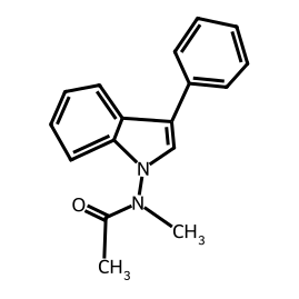 CC(=O)N(C)n1cc(-c2ccccc2)c2ccccc21